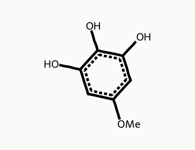 COc1cc(O)c(O)c(O)c1